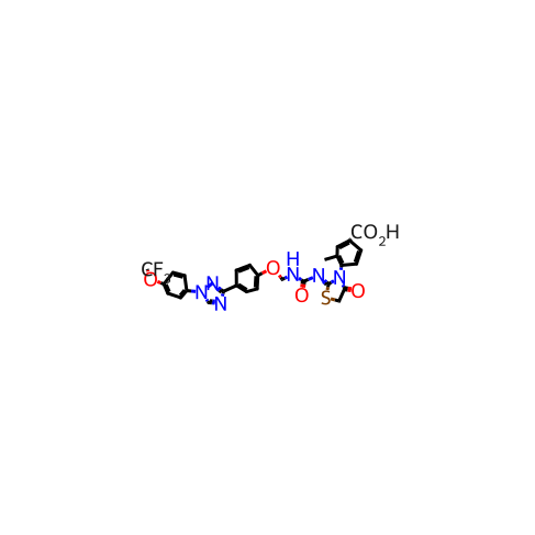 Cc1cc(C(=O)O)ccc1N1C(=O)CS/C1=N\C(=O)NCOc1ccc(-c2ncn(-c3ccc(OC(F)(F)F)cc3)n2)cc1